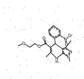 COCCOC(=O)C1=C(C)Nc2c(c(C)nn2C)C1c1ccccc1[N+](=O)[O-]